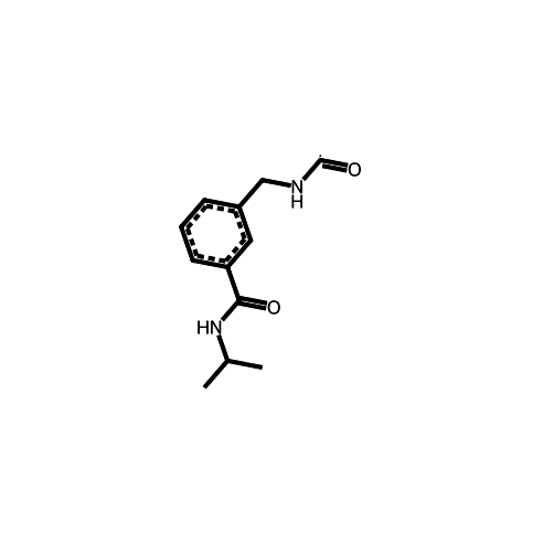 CC(C)NC(=O)c1cccc(CN[C]=O)c1